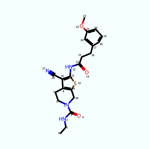 CCNC(=O)N1CCc2c(sc(NC(=O)CCc3cccc(OC)c3)c2C#N)C1